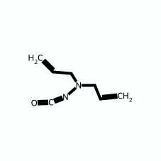 C=CCN(CC=C)N=C=O